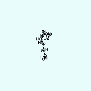 O=C(CCCCC1SCC2NC(=O)NC21)NCCCCCC(=O)NCCNC(O)c1ccc(CN(Cc2ccccn2)CC(O)CN(Cc2ccccn2)Cc2ccccn2)nc1